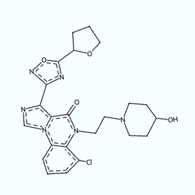 O=c1c2c(-c3noc(C4CCCO4)n3)ncn2c2cccc(Cl)c2n1CCN1CCC(O)CC1